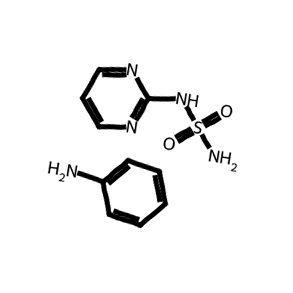 NS(=O)(=O)Nc1ncccn1.Nc1ccccc1